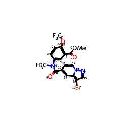 COC(=O)c1cc(N(C)C(=O)c2ccn3ncc(Br)c3c2)ccc1OC(F)(F)F